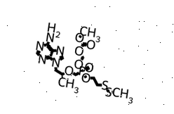 COC(=O)OCOP(=O)(CO[C@H](C)Cn1cnc2c(N)ncnc21)OCCSSC